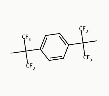 CC(c1ccc(C(C)(C(F)(F)F)C(F)(F)F)cc1)(C(F)(F)F)C(F)(F)F